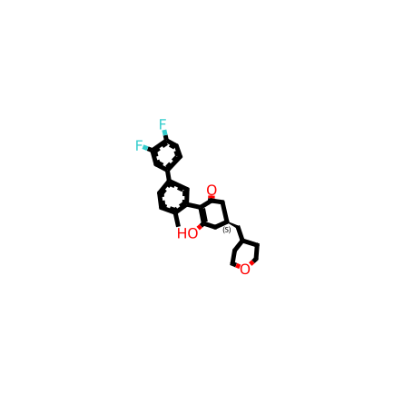 Cc1ccc(-c2ccc(F)c(F)c2)cc1C1=C(O)C[C@H](CC2CCOCC2)CC1=O